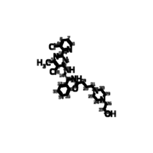 Cc1nc(-c2ncccc2Cl)nc(NC[C@H](NC(=O)CCCN2CCN(CCO)CC2)c2ccccc2)c1Cl